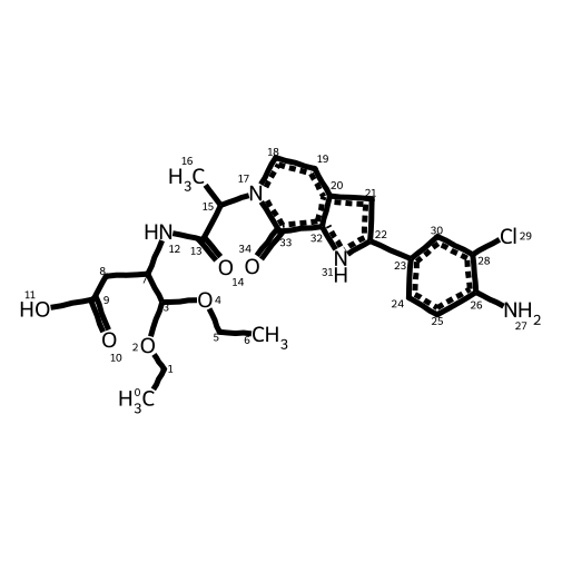 CCOC(OCC)C(CC(=O)O)NC(=O)C(C)n1ccc2cc(-c3ccc(N)c(Cl)c3)[nH]c2c1=O